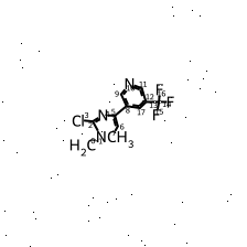 C=N/C(Cl)=N\C(=C/C)c1cncc(C(F)(F)F)c1